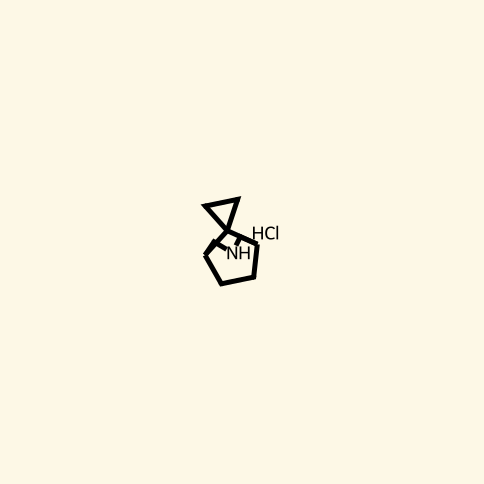 C1CC2CNCC1C21CC1.Cl